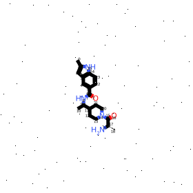 Cc1cc2cc(C(=O)NC(C)C3CCN(C(=O)[C@H](C)N)CC3)ccc2[nH]1